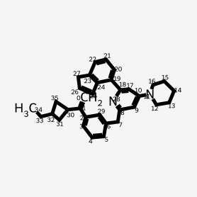 C=C(c1cccc(Cc2cc(N3CCCCC3)cc(-c3cccc4c3C=CC4)n2)c1)C1CC(CC)C1